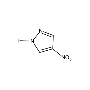 O=[N+]([O-])c1cnn(I)c1